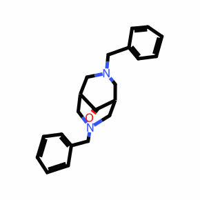 O=C1C2CN(Cc3ccccc3)CC1CN(Cc1ccccc1)C2